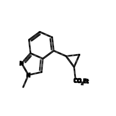 CCOC(=O)C1CC1c1cccc2nn(C)cc12